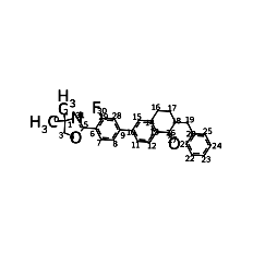 CC1(C)COC(c2ccc(-c3ccc4c(c3)CCC(Cc3ccccc3)C4=O)cc2F)=N1